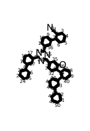 N#Cc1ccccc1-c1cccc(-c2nc(-c3cccc(-c4ccccc4)c3)nc(-c3ccc4c(c3)oc3cccc(-c5cccc(-c6ccccc6)c5)c34)n2)c1